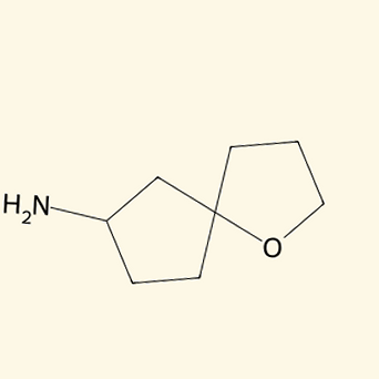 NC1CCC2(CCCO2)C1